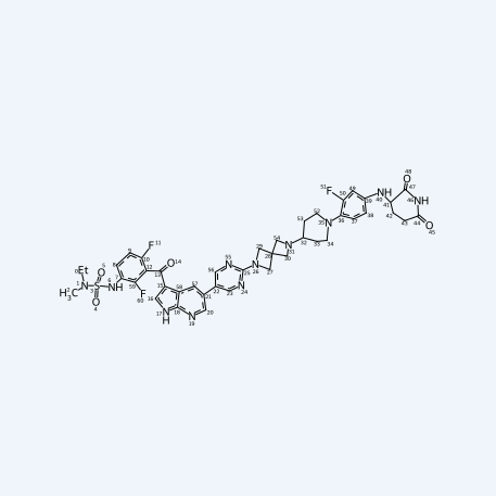 CCN(C)S(=O)(=O)Nc1ccc(F)c(C(=O)c2c[nH]c3ncc(-c4cnc(N5CC6(C5)CN(C5CCN(c7ccc(NC8CCC(=O)NC8=O)cc7F)CC5)C6)nc4)cc23)c1F